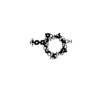 CCC(C)C1NC(=O)C2CCCN2C(=O)C(Cc2cccc(-c3ccc(C(F)(F)F)cc3)c2)N(C)C(=O)C(Cc2ccccc2)NC(=O)CN(C)C(=O)C([C@H](C)CC)OC(=O)C(C(C)(C)O)N(C)C(=O)C(CC(C)C)NC(=O)[C@H](C)N(C)C1=O